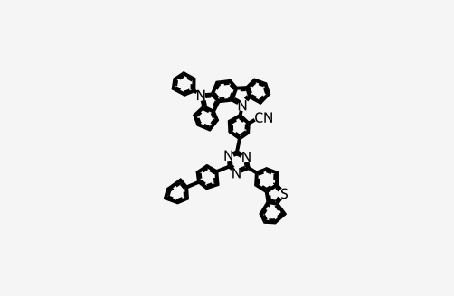 N#Cc1cc(-c2nc(-c3ccc(-c4ccccc4)cc3)nc(-c3ccc4sc5ccccc5c4c3)n2)ccc1-n1c2ccccc2c2ccc3c(c4ccccc4n3-c3ccccc3)c21